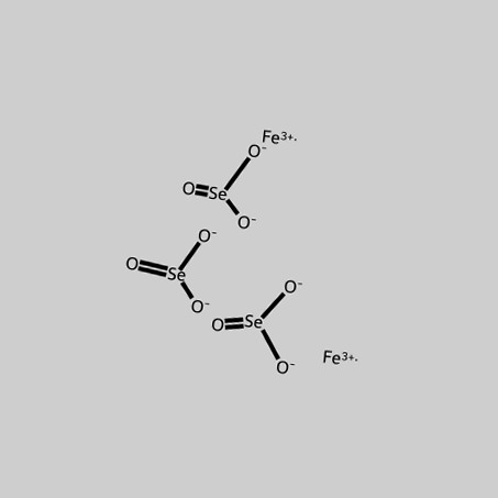 O=[Se]([O-])[O-].O=[Se]([O-])[O-].O=[Se]([O-])[O-].[Fe+3].[Fe+3]